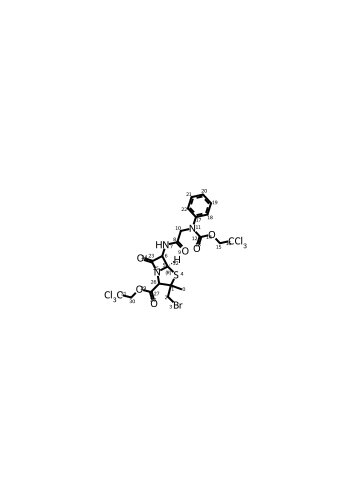 CC1(CBr)S[C@@H]2C(NC(=O)CN(C(=O)OCC(Cl)(Cl)Cl)c3ccccc3)C(=O)N2C1C(=O)OCC(Cl)(Cl)Cl